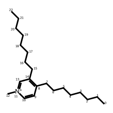 CCCCCCCCc1cc[n+](C)cc1CCCCCCCC